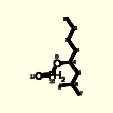 CCCCC(CC(C)C)O[PH2]=O